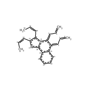 C=C/C=c1\c(=C/C=C)n2c(/C=C\C)c(/C=C\C)nc2c2ccccc12